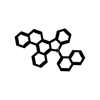 c1ccc2c(-n3c4ccccc4c4c5ccc6ccccc6c5c5ccccc5c43)cccc2c1